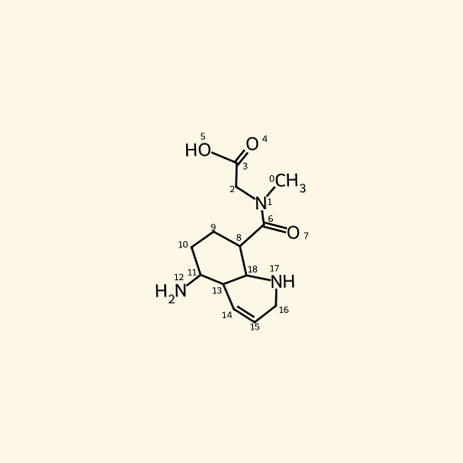 CN(CC(=O)O)C(=O)C1CCC(N)C2C=CCNC12